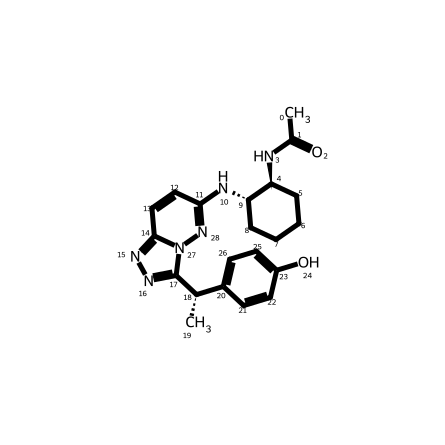 CC(=O)N[C@H]1CCCC[C@@H]1Nc1ccc2nnc([C@@H](C)c3ccc(O)cc3)n2n1